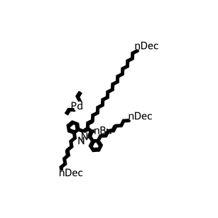 C=C[CH2][Pd][CH2]C=C.CCCCCCCCCCCCCC=CCCCc1ccccc1C1=C(C=CCCCCCCCCCCCCCCCCCCCCCCCCCCCC)C(CCCC)=C(c2ccccc2CCCC=CCCCCCCCCCCCCC)[N+]1=[N-]